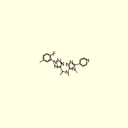 Cc1ccc(F)c(-n2nnc(C(C)N(C)c3nnc(-c4ccncc4)n3C)n2)c1